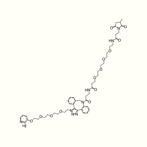 CC1CC(=O)N(CCC(=O)NCCOCCOCCOCCOCCC(=O)NCCC(=O)N2Cc3ccccc3-c3c(nnn3CCOCCOCCOCCOc3cccnc3[18F])-c3ccccc32)C1=O